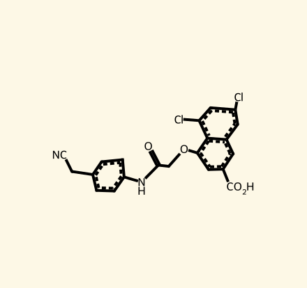 N#CCc1ccc(NC(=O)COc2cc(C(=O)O)cc3cc(Cl)cc(Cl)c23)cc1